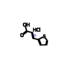 Cl.O=C(O)/C=C/c1cccs1